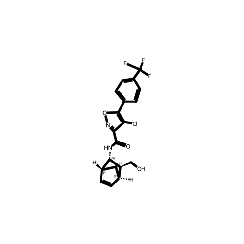 O=C(N[C@@H]1[C@@H](CO)[C@H]2C=C[C@H]1C2)c1noc(-c2ccc(C(F)(F)F)cc2)c1Cl